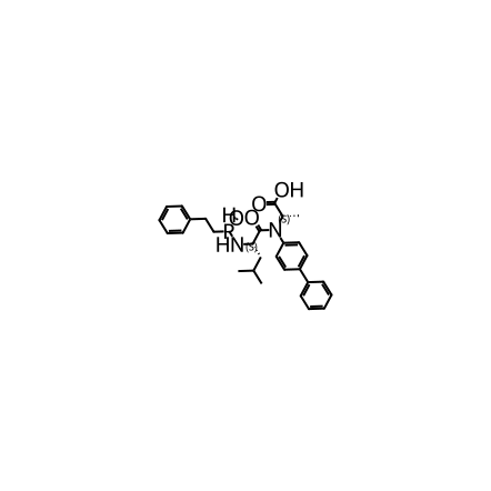 CC(C)C[C@H](N[PH](=O)CCc1ccccc1)C(=O)N(c1ccc(-c2ccccc2)cc1)[C@@H](C)C(=O)O